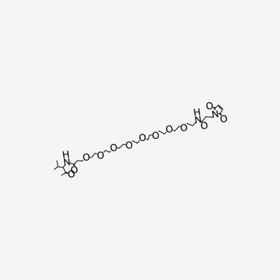 CC(=O)C(NC(=O)CCOCCOCCOCCOCCOCCOCCOCCOCCNC(=O)CCN1C(=O)C=CC1=O)C(C)C